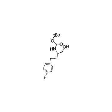 CC(C)(C)OC(=O)N[C@@H](CO)CCc1ccc(F)cc1